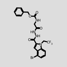 O=C(CNC(=O)OCc1ccccc1)NNC(=O)c1cc2c(Br)cccc2n1CC(F)(F)F